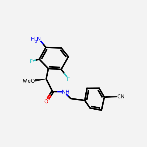 CO[C@H](C(=O)NCc1ccc(C#N)cc1)c1c(F)ccc(N)c1F